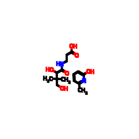 CC(C)(CO)C(O)C(=O)NCCC(=O)O.Cc1cccc(O)n1